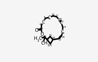 CC1(C)OC(=O)CCCCCCCCCC/C=C\C2CC1C2